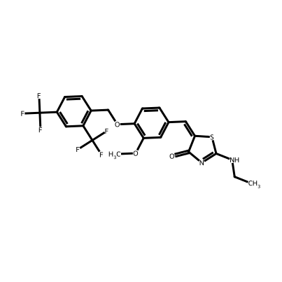 CCNC1=NC(=O)/C(=C\c2ccc(OCc3ccc(C(F)(F)F)cc3C(F)(F)F)c(OC)c2)S1